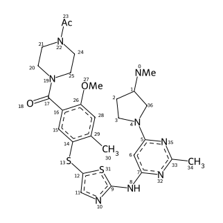 CNC1CCN(c2cc(Nc3ncc(Sc4cc(C(=O)N5CCN(C(C)=O)CC5)c(OC)cc4C)s3)nc(C)n2)C1